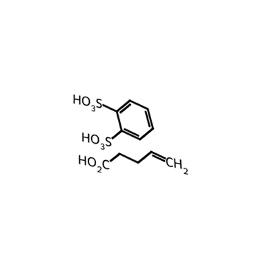 C=CCCC(=O)O.O=S(=O)(O)c1ccccc1S(=O)(=O)O